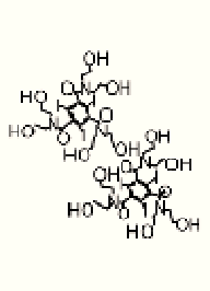 O=C(c1c(I)c(C(=O)N(CCO)CCO)c(I)c(C(=O)N(CCO)CCO)c1I)N(CCO)CCO.O=C(c1c(I)c(C(=O)N(CCO)CCO)c(I)c(C(=O)N(CCO)CCO)c1I)N(CCO)CCO